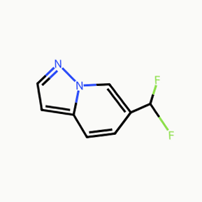 FC(F)c1ccc2ccnn2c1